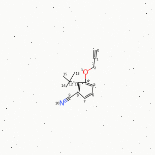 C#CCOc1cccc(C#N)c1C(C)(C)C